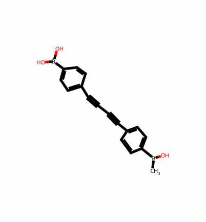 CB(O)c1ccc(C#CC#Cc2ccc(B(O)O)cc2)cc1